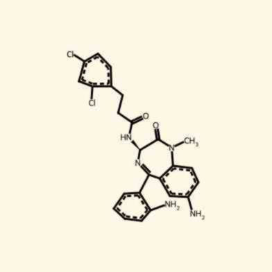 CN1C(=O)[C@H](NC(=O)CCc2ccc(Cl)cc2Cl)N=C(c2ccccc2N)c2cc(N)ccc21